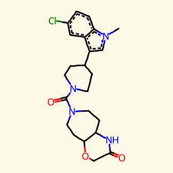 Cn1cc(C2CCN(C(=O)N3CCC4NC(=O)COC4CC3)CC2)c2cc(Cl)ccc21